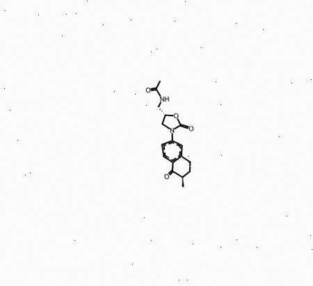 CC(=O)NC[C@H]1CN(c2ccc3c(c2)CC[C@@H](C)C3=O)C(=O)O1